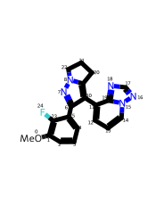 COc1cccc(-c2nn3c(c2-c2cccn4ncnc24)CCC3)c1F